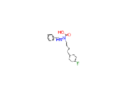 O=C(O)N(CCCCC1CCC(F)CC1)NCc1ccccc1